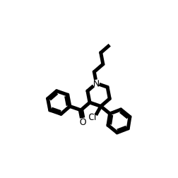 CCCCN1CCC(Cl)(c2ccccc2)C(C(=O)c2ccccc2)C1